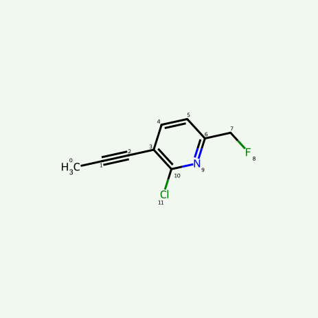 CC#Cc1ccc(CF)nc1Cl